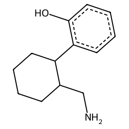 NCC1CCCCC1c1ccccc1O